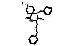 CN1CCC2(CC1)C(=O)NC(COCc1ccccc1)C(=O)N2Cc1ccccc1